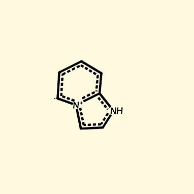 [c]1cccc2[nH]cc[n+]12